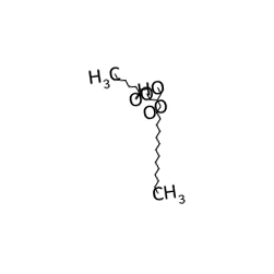 CCCCCCCCCCCCCC(=O)OC(CO)COC(=O)CCCCC